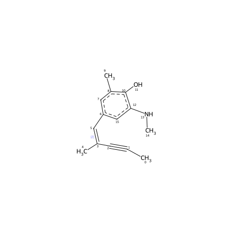 CC#C/C(C)=C\c1cc(C)c(O)c(NC)c1